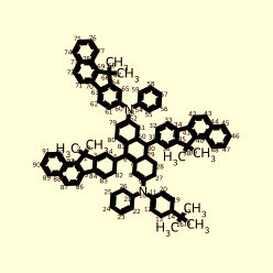 CC1(C)C2=CC(C3=C4C=C(N(C5=CCC(C(C)(C)C)C=C5)C5C=CC=CC5)CCC4C(c4ccc5c(c4)C(C)(C)c4c-5ccc5ccccc45)C4CC(N(c5ccccc5)c5ccc6c(c5)C(C)(C)c5c-6ccc6ccccc56)=CC=C34)CC=C2c2ccc3ccccc3c21